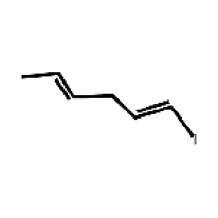 CC=CCC=CI